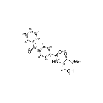 COC(=O)[C@H](CO)NC(=O)c1ccc(C(=O)c2cccnc2)cc1